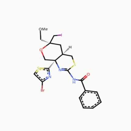 COC[C@]1(CI)C[C@H]2CSC(NC(=O)c3ccccc3)=N[C@@]2(c2nc(Br)cs2)CO1